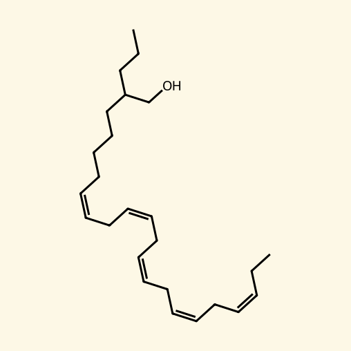 CC/C=C\C/C=C\C/C=C\C/C=C\C/C=C\CCCCC(CO)CCC